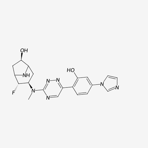 CN(c1ncc(-c2ccc(-n3ccnc3)cc2O)nn1)[C@@H]1CC2NC(C[C@H]2O)[C@H]1F